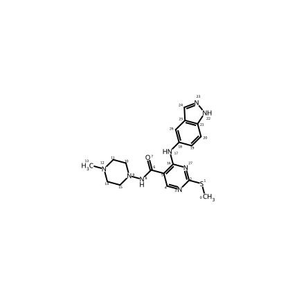 CSc1ncc(C(=O)NN2CCN(C)CC2)c(Nc2ccc3[nH]ncc3c2)n1